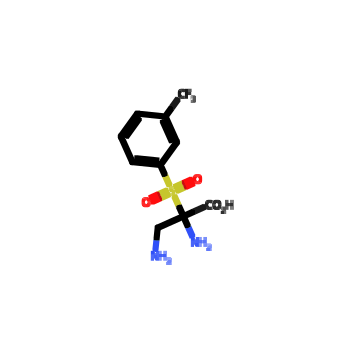 NCC(N)(C(=O)O)S(=O)(=O)c1cccc(C(F)(F)F)c1